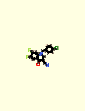 N#Cc1cn(Cc2ccc(Cl)cc2)c2cc(F)c(F)cc2c1=O